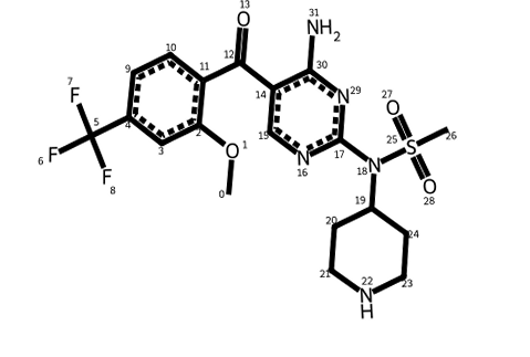 COc1cc(C(F)(F)F)ccc1C(=O)c1cnc(N(C2CCNCC2)S(C)(=O)=O)nc1N